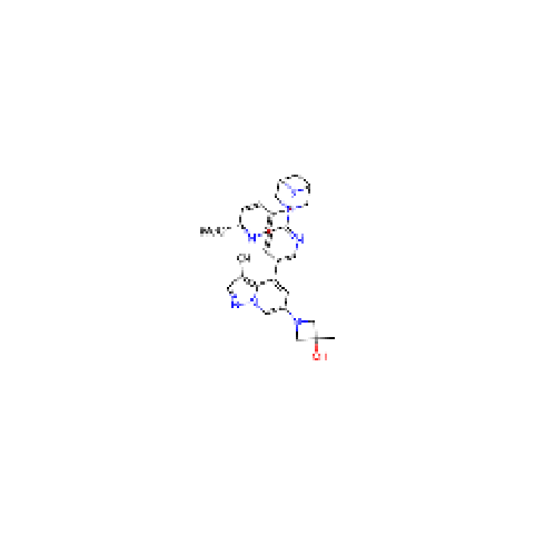 COc1ccc(CN2C3CC2CN(c2ccc(-c4cc(N5CC(C)(O)C5)cn5ncc(C#N)c45)cn2)C3)cn1